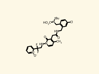 Cc1ccn(NCC(F)(F)c2cccc[n+]2[O-])c(=O)c1CC(=O)NCc1cc(Cl)ccc1CN(C(=O)O)C(C)(C)C